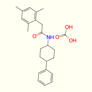 Cc1cc(C)c(CC(=O)NC2CCC(c3ccccc3)CC2)c(C)c1.O=C(O)O